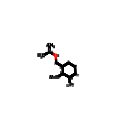 COC1C(CO[SiH](C)C)CCCC1C(C)C